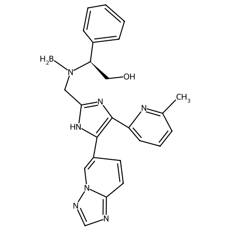 BN(Cc1nc(-c2cccc(C)n2)c(-c2ccc3ncnn3c2)[nH]1)[C@H](CO)c1ccccc1